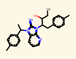 Cc1ccc(CC(C(O)CC#N)n2c(=N)n(C(C)c3ccc(C)cc3)c3cccnc32)cc1